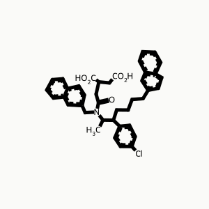 CC(C(CCCCc1ccc2ccccc2c1)c1ccc(Cl)cc1)N(Cc1ccc2ccccc2c1)C(=O)CC(CC(=O)O)C(=O)O